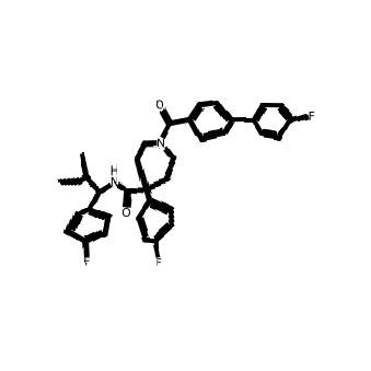 CC(C)C(NC(=O)C1(c2ccc(F)cc2)CCN(C(=O)c2ccc(-c3ccc(F)cc3)cc2)CC1)c1ccc(F)cc1